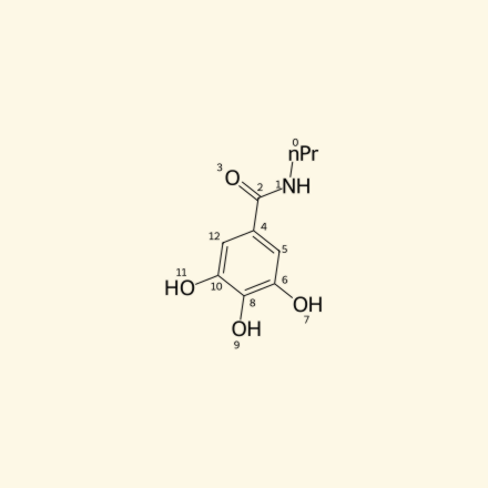 CCCNC(=O)c1cc(O)c(O)c(O)c1